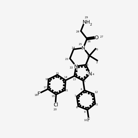 CC1(C)c2nc(-c3ccc(F)cc3)c(-c3ccc(F)c(Cl)c3)n2CCN1C(=O)CN